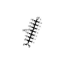 Cl.FN(F)C(F)(F)C(F)(F)C(F)(F)C(F)(F)C(F)(F)C(F)(F)C(F)(F)C(F)(F)F